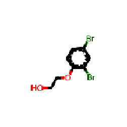 OCCOc1ccc(Br)cc1Br